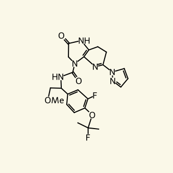 COCC(NC(=O)N1CC(=O)NC2=C1N=C(n1cccn1)CC2)c1ccc(OC(C)(C)F)c(F)c1